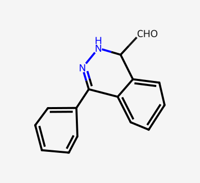 O=CC1NN=C(c2ccccc2)c2ccccc21